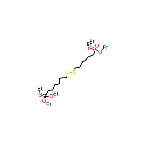 CCO[Si](CCCCCCSSCCCCCC[Si](OCC)(OCC)OCC)(OCC)OCC